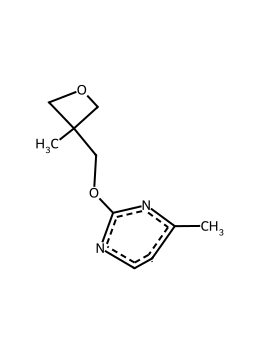 Cc1[c]cnc(OCC2(C)COC2)n1